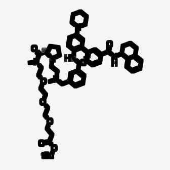 CN(CCN1CCC[C@H]1C(=O)N(C)CCOCCOCCOCCC(=O)OC(C)(C)C)Cc1cccc(C(=O)Nc2ccc(N3CCCCC3)cc2-c2cc(C(=O)NC3CCCc4ccccc43)ccn2)c1